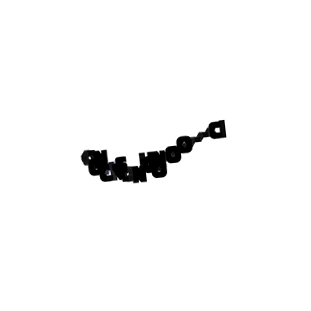 CN(CCOC(=O)NCCOCCOCCCCCCCl)c1ccc2cc(/C=C(\C#N)c3nc4ccccc4o3)sc2c1